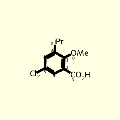 COc1c(C(=O)O)cc(Cl)cc1C(C)C